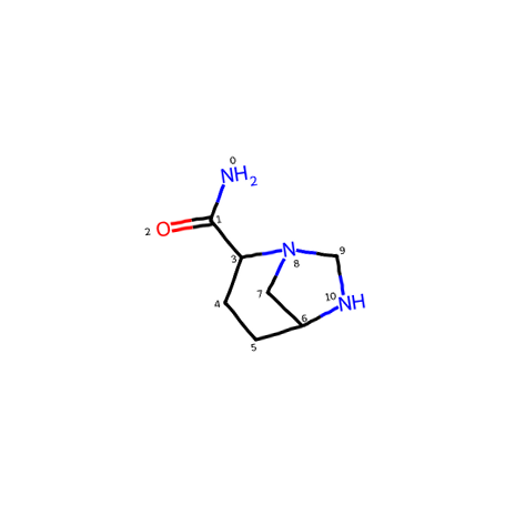 NC(=O)C1CCC2CN1CN2